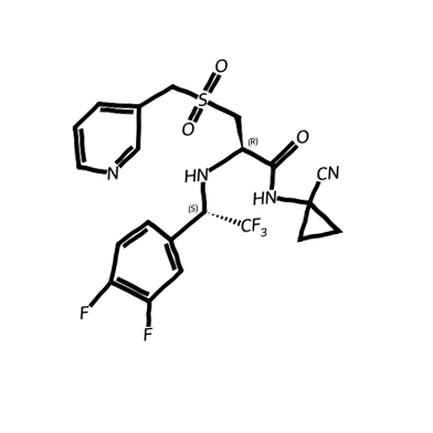 N#CC1(NC(=O)[C@H](CS(=O)(=O)Cc2cccnc2)N[C@@H](c2ccc(F)c(F)c2)C(F)(F)F)CC1